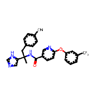 CC(Cc1ccc(C#N)cc1)(NC(=O)c1ccc(Oc2cccc(C(F)(F)F)c2)nc1)c1cnc[nH]1